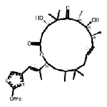 COc1nc(/C=C(\C)[C@@H]2CC(C)C(C)(C)C/C=C/[C@H](C)[C@H](O)[C@@H](C)C(=O)C(C)(C)[C@@H](O)CC(=O)O2)cs1